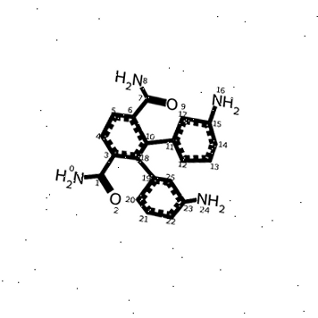 NC(=O)c1ccc(C(N)=O)c(-c2cccc(N)c2)c1-c1cccc(N)c1